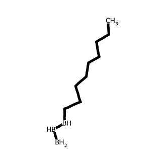 BBBCCCCCCCCC